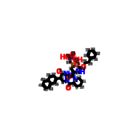 NC(=O)C(CNC(=O)C1CCCCN1C(=O)C(CSCP(=O)(O)O)NC(=O)OCCc1ccccc1)c1ccc2ccccc2c1